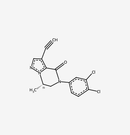 C#Cc1cnn2c1C(=O)N(c1ccc(Cl)c(Cl)c1)C[C@@H]2C